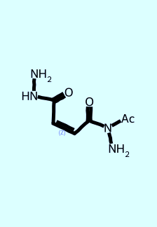 CC(=O)N(N)C(=O)/C=C\C(=O)NN